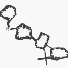 CC1(C)c2ccccc2-c2ccc(-c3ccc(Nc4ccccc4)cc3)cc21